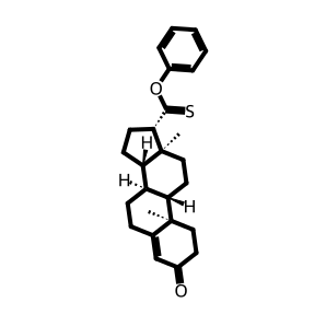 C[C@]12CC[C@H]3[C@@H](CCC4=CC(=O)CC[C@@]43C)[C@@H]1CC[C@@H]2C(=S)Oc1ccccc1